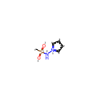 CS(=O)(=O)Nn1cccc1